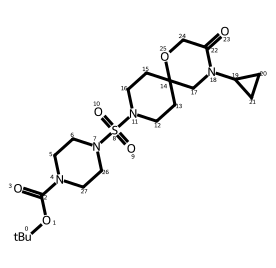 CC(C)(C)OC(=O)N1CCN(S(=O)(=O)N2CCC3(CC2)CN(C2CC2)C(=O)CO3)CC1